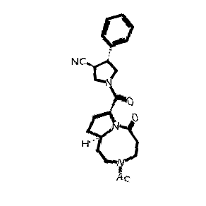 CC(=O)N1CCC(=O)N2[C@H](CC[C@H]2C(=O)N2C[C@@H](C#N)[C@H](c3ccccc3)C2)CC1